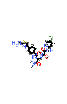 CN(C)C(=O)C(CNC(=O)C(=O)Nc1ccc(Cl)cn1)NC(=O)c1ccc(-c2csc(N)n2)cc1